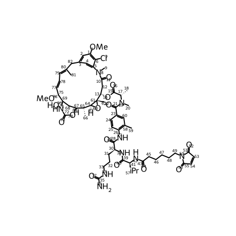 COc1cc2cc(c1Cl)N(C)C(=O)C[C@H](OC(=O)[C@H](C)N(C)C(=O)c1ccc(NC(=O)[C@H](CCCNC(N)=O)NC(=O)[C@@H](NC(=O)CCCCCN3C(=O)C=CC3=O)C(C)C)c(C)c1)[C@]1(C)O[C@H]1[C@H](C)[C@@H]1C[C@@](O)(NC(=O)O1)[C@H](OC)/C=C/C=C(\C)C2